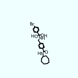 O=C(NC1CCCCCCC1)c1ccc(CNC(O)(O)c2ccc(Br)cc2)cc1